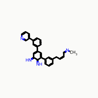 C/N=C\C=C/Cc1cccc(C2=CC(c3cccc(-c4cccnc4)c3)=CC(=N)C2=N)c1